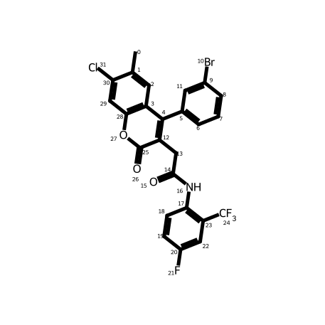 Cc1cc2c(-c3cccc(Br)c3)c(CC(=O)Nc3ccc(F)cc3C(F)(F)F)c(=O)oc2cc1Cl